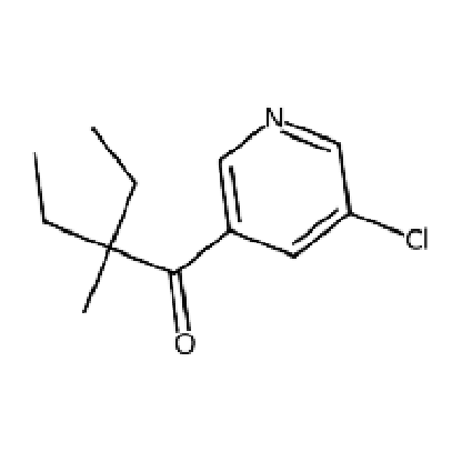 CCC(C)(CC)C(=O)c1cncc(Cl)c1